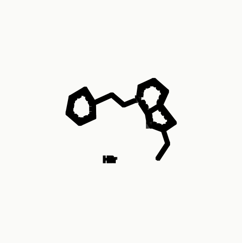 Br.CCc1cc2cccn(CCc3ccccc3)c-2n1